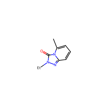 CCn1nc2cccc(C)n2c1=O